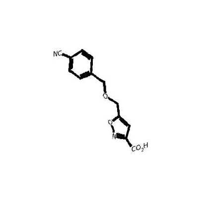 N#Cc1ccc(COCc2cc(C(=O)O)no2)cc1